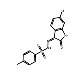 Cc1ccc(S(=O)(=O)NN=C2C(=O)Nc3cc(Cl)ccc32)cc1